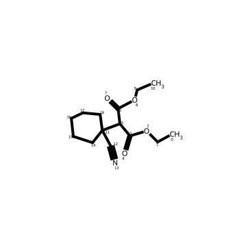 CCOC(=O)C(C(=O)OCC)C1(C#N)CCCCC1